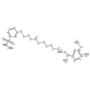 CC(C)(C)NS(=O)(=O)c1cccc(CCCCOCCCCCCNC[C@@H](O)c2ccc(O)c(CO)c2)c1